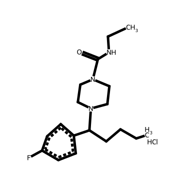 CCCCC(c1ccc(F)cc1)N1CCN(C(=O)NCC)CC1.Cl